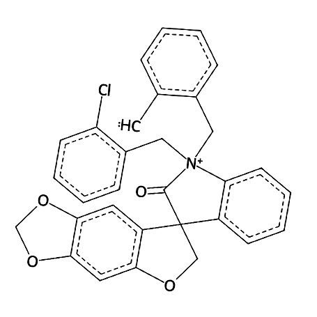 [CH]c1ccccc1C[N+]1(Cc2ccccc2Cl)C(=O)C2(COc3cc4c(cc32)OCO4)c2ccccc21